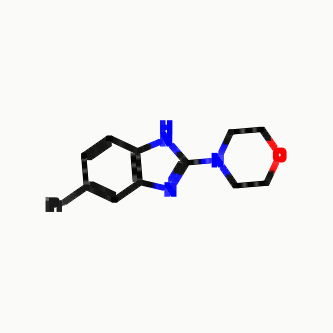 CC(C)c1ccc2[nH]c(N3CCOCC3)nc2c1